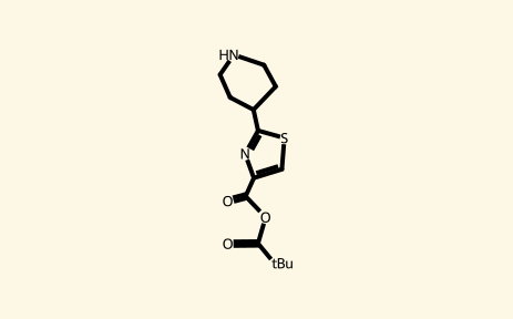 CC(C)(C)C(=O)OC(=O)c1csc(C2CCNCC2)n1